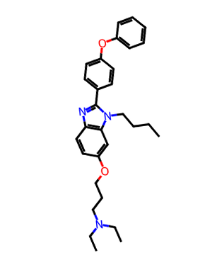 CCCCn1c(-c2ccc(Oc3ccccc3)cc2)nc2ccc(OCCCN(CC)CC)cc21